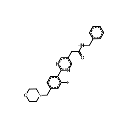 O=C(Cc1cnc(-c2ccc(CN3CCOCC3)cc2F)nc1)NCc1ccccc1